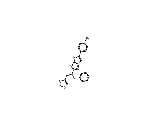 CC(C)c1ccc(-c2cn3nc(N(CC4=COCO4)Cc4ccccc4)sc3n2)cc1